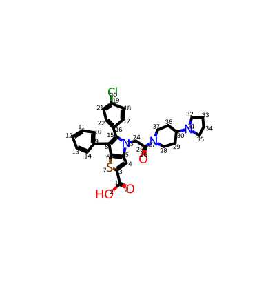 O=C(O)c1cc2c(s1)c(-c1ccccc1)c(-c1ccc(Cl)cc1)n2CC(=O)N1CCC(N2CCCC2)CC1